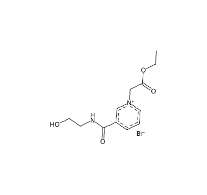 CCOC(=O)C[n+]1cccc(C(=O)NCCO)c1.[Br-]